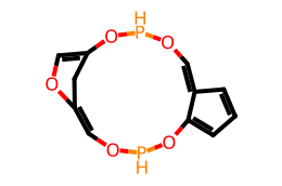 C1=CC2=COPOC3=COC(=COPOC2=C1)C3